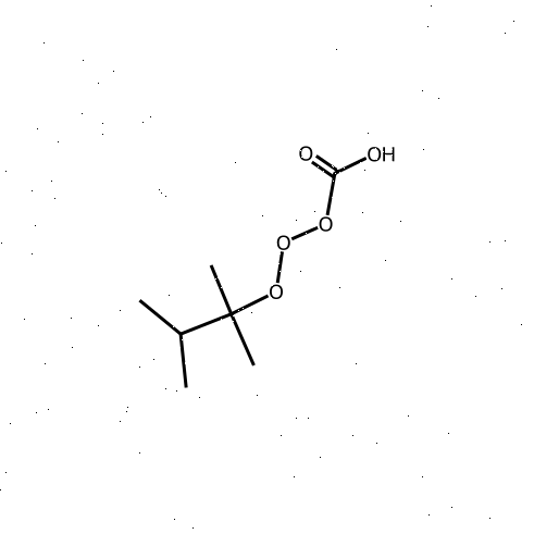 CC(C)C(C)(C)OOOC(=O)O